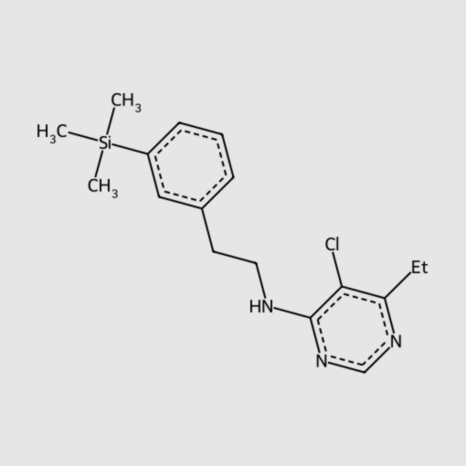 CCc1ncnc(NCCc2cccc([Si](C)(C)C)c2)c1Cl